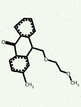 COCCOCC1c2ccccc2C(=O)c2ccc(C)cc21